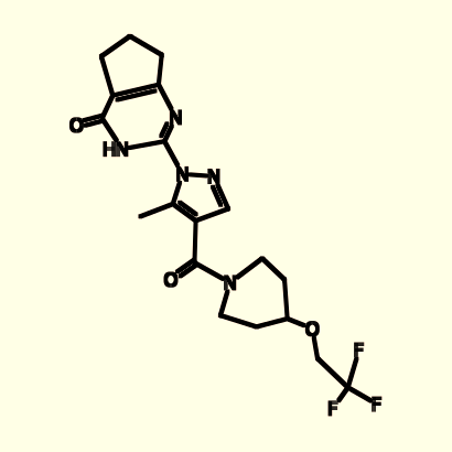 Cc1c(C(=O)N2CCC(OCC(F)(F)F)CC2)cnn1-c1nc2c(c(=O)[nH]1)CCC2